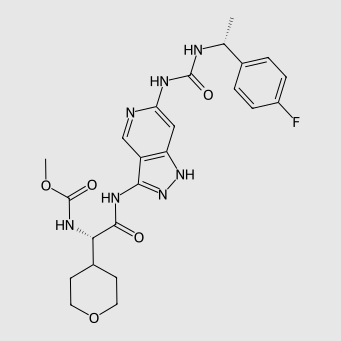 COC(=O)N[C@H](C(=O)Nc1n[nH]c2cc(NC(=O)N[C@H](C)c3ccc(F)cc3)ncc12)C1CCOCC1